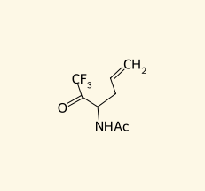 C=CCC(NC(C)=O)C(=O)C(F)(F)F